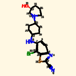 N#Cc1nc2ccc(NC3CCC(N4CCC[C@@H](O)C4)CC3)c(Br)c2s1